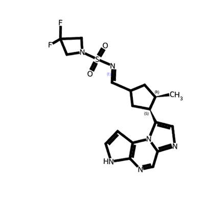 C[C@@H]1CC(/C=N/S(=O)(=O)N2CC(F)(F)C2)C[C@@H]1c1cnc2cnc3[nH]ccc3n12